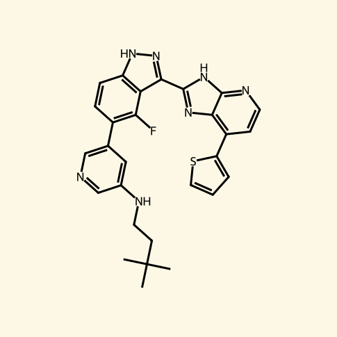 CC(C)(C)CCNc1cncc(-c2ccc3[nH]nc(-c4nc5c(-c6cccs6)ccnc5[nH]4)c3c2F)c1